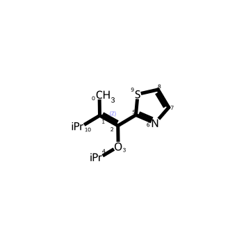 C/C(=C(/OC(C)C)c1nccs1)C(C)C